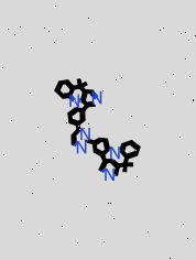 CC1(C)c2ccccc2-n2c3ccc(-c4ccnc(-c5ccc6c(c5)c5cncc7c5n6-c5ccccc5C7(C)C)n4)cc3c3cncc1c32